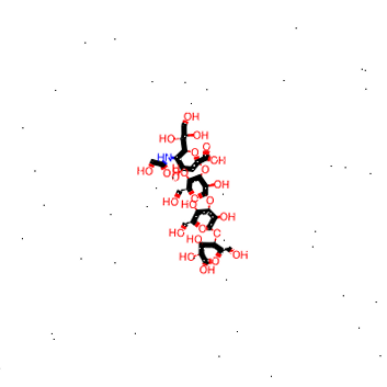 O=C(CO)N[C@H]1[C@H]([C@H](O)[C@H](O)CO)O[C@@](O[C@H]2[C@@H](O)[C@@H](CO)O[C@@H](O[C@H]3[C@@H](O)[C@@H](CO)O[C@@H](O[C@H]4[C@H](O)[C@@H](O)C(O)O[C@@H]4CO)[C@@H]3O)[C@@H]2O)(C(=O)O)C[C@@H]1O